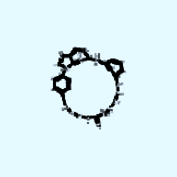 O=C1CCCOc2ccc(cc2)-n2nnc3c2=NC(NC=3)Nc2cccc(c2)OCCCN1